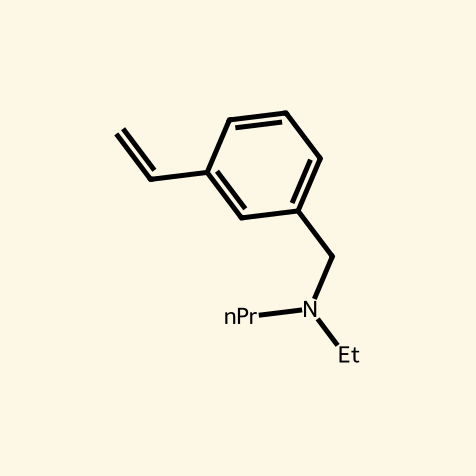 C=Cc1cccc(CN(CC)CCC)c1